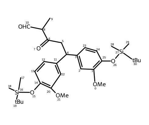 COc1cc(C(CC(=O)C(C)C=O)c2ccc(O[Si](C)(C)C(C)(C)C)c(OC)c2)ccc1O[Si](C)(C)C(C)(C)C